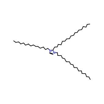 CCCCCCCCCCCCCCCCCCC1N(CCCCCCCCCCCCCCC)C=CN1CCCCCCCCCCCCCCCCCC